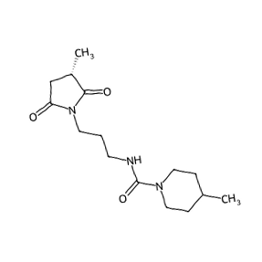 CC1CCN(C(=O)NCCCN2C(=O)C[C@H](C)C2=O)CC1